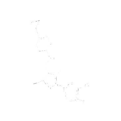 Cc1nn(-c2ccc(F)c(Cl)c2)c(C)c1CNC1CCN(C2CC2)CC1